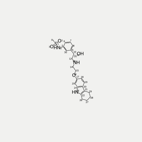 CS(=O)(=O)Nc1cccc([C@H](O)CNCCOc2ccc3c4c([nH]c3c2)CCCC4)c1